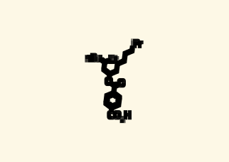 CCCCC(CC)CC(CCCCCC(C)C)OC(=O)c1ccc(C(=O)O)cc1